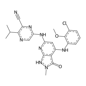 COc1c(Cl)cccc1Nc1cc(Nc2cnc(C(C)C)c(C#N)n2)nc2[nH]n(C)c(=O)c12